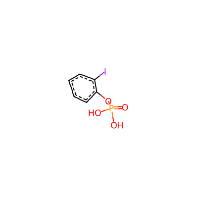 O=P(O)(O)Oc1ccccc1I